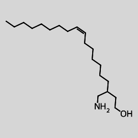 CCCCCCCC/C=C\CCCCCCC(CN)CCO